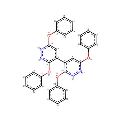 c1ccc(Oc2cc(-c3cc(Oc4ccccc4)nnc3Oc3ccccc3)c(Oc3ccccc3)nn2)cc1